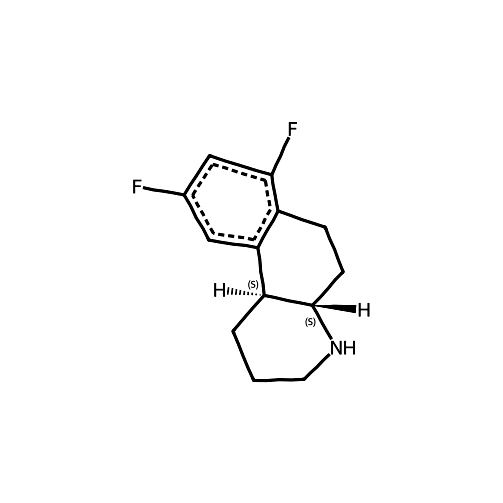 Fc1cc(F)c2c(c1)[C@@H]1CCCN[C@H]1CC2